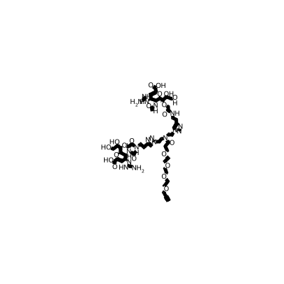 C#CCOCCOCCOCCOCCC(=O)N(CCn1cc(CCNC(=O)CO[C@@H]([C@@H]2OC(C(=O)O)=C[C@H](NC(=N)N)[C@H]2NC(C)=O)[C@H](O)CO)nn1)CCn1cc(CCNC(=O)CO[C@@H]([C@@H]2OC(C(=O)O)=C[C@H](NC(=N)N)[C@H]2NC(C)=O)[C@H](O)CO)nn1